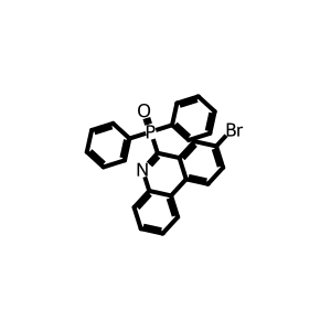 O=P(c1ccccc1)(c1ccccc1)c1nc2ccccc2c2ccc(Br)cc12